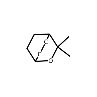 CC1(C)OC2CCC1CC2